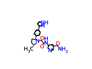 C[C@@H]1CC[C@@H](c2ccc(-c3cc[nH]n3)cc2)N(C(=O)C(=O)Nc2cncc(C(N)=O)c2)C1